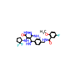 COc1ccc(F)cc1C(=O)NCc1ccc(C(=N)c2c(N)n[nH]c(=O)c2N[C@@H]2CCCC2(F)F)cc1